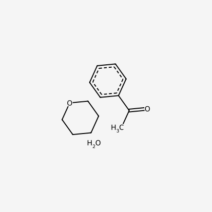 C1CCOCC1.CC(=O)c1ccccc1.O